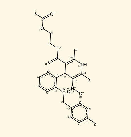 CC(=O)OCCOC(=S)C1=C(C)NC(C)=C([N+](=O)[O-])C1c1ccccc1OCc1ccc(C)cc1